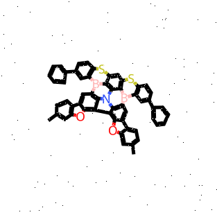 Cc1ccc2c(c1)oc1c2cc2c3c1c1c4oc5cc(C)ccc5c4cc4c1n3-c1c3c(cc5c1B4c1cc(-c4ccccc4)ccc1S5)Sc1ccc(-c4ccccc4)cc1B32